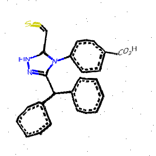 O=C(O)c1ccc(N2C(C(c3ccccc3)c3ccccc3)=NNC2C=S)cc1